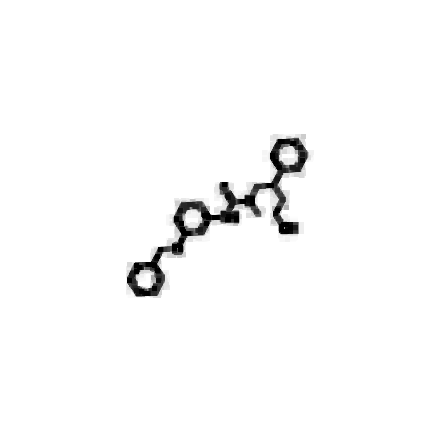 CN(CC(CCO)c1ccccc1)C(=S)Nc1cccc(OCc2ccccc2)c1